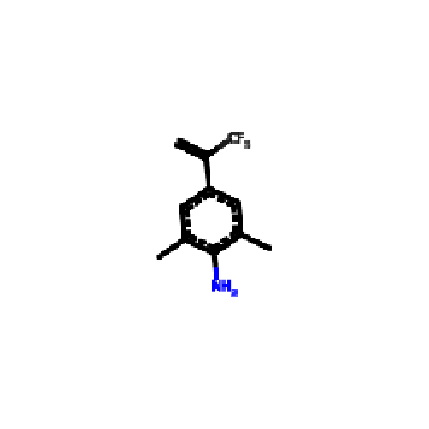 C=C(c1cc(C)c(N)c(C)c1)C(F)(F)F